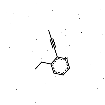 CC#Cc1ncccc1CC